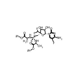 CC(C)OC(=O)[C@H](C)NP(=S)(N[C@@H](C)C(=O)OC(C)C)OC[C@@]1(C(F)F)O[C@@H](n2cc(F)c(N)nc2=O)[C@H](O)[C@@H]1O